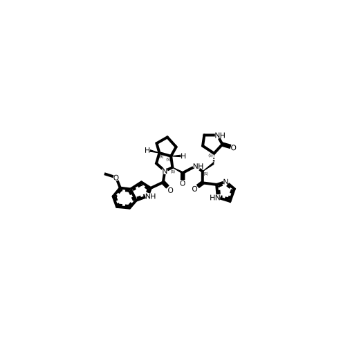 COc1cccc2[nH]c(C(=O)N3C[C@@H]4CCC[C@@H]4[C@H]3C(=O)N[C@@H](C[C@@H]3CCNC3=O)C(=O)c3ncc[nH]3)cc12